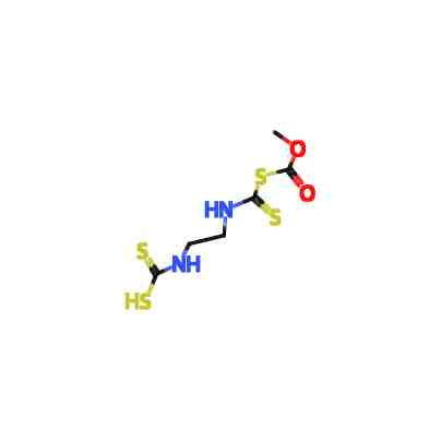 COC(=O)SC(=S)NCCNC(=S)S